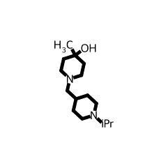 CC(C)N1CCC(CN2CCC(C)(O)CC2)CC1